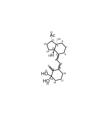 C=C1/C(=C\C=C2/CCC[C@]3(C)[C@@H](C(C)=O)CC[C@@H]23)CCCC1(O)O